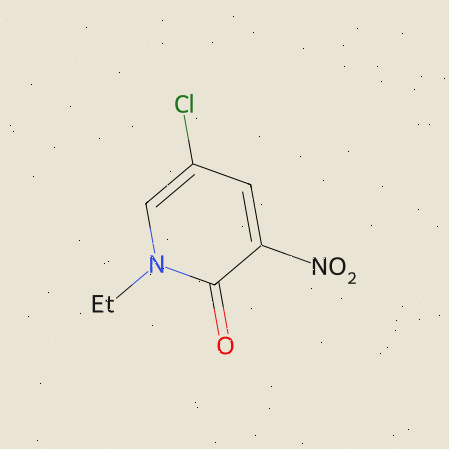 CCn1cc(Cl)cc([N+](=O)[O-])c1=O